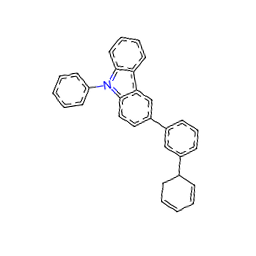 C1=CCC(c2cccc(-c3ccc4c(c3)c3ccccc3n4-c3ccccc3)c2)C=C1